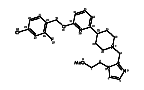 COCCn1ccnc1CN1CCC(c2cccc(OCc3ccc(Cl)cc3F)n2)CC1